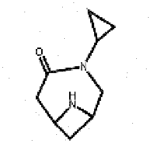 O=C1CC2CC(CN1C1CC1)N2